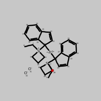 CC[Si]1([C]2([Zr+2][C]3([Si]4(CC)CCC4)C=Cc4ccccc43)C=Cc3ccccc32)CCC1.[Cl-].[Cl-]